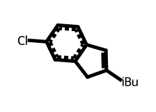 CCC(C)C1=Cc2ccc(Cl)cc2C1